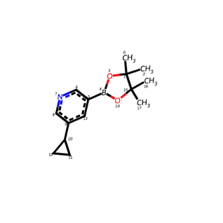 CC1(C)OB(c2cncc(C3CC3)c2)OC1(C)C